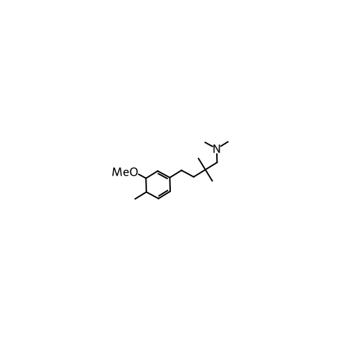 COC1C=C(CCC(C)(C)CN(C)C)C=CC1C